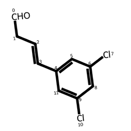 O=CCC=Cc1cc(Cl)cc(Cl)c1